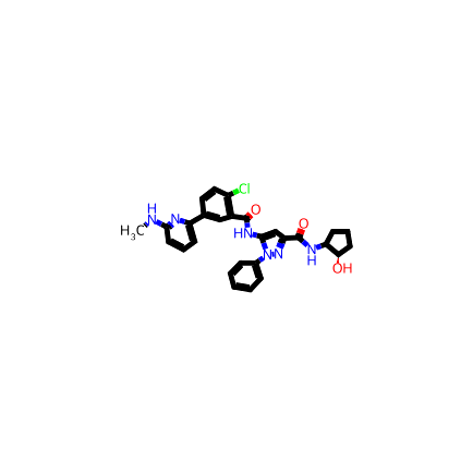 CNc1cccc(-c2ccc(Cl)c(C(=O)Nc3cc(C(=O)NC4CCC[C@@H]4O)nn3-c3ccccc3)c2)n1